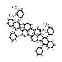 FC(F)(F)c1cccc(-c2c3c(c(-c4ccccc4)c4ccccc24)-c2ccc4c5ccc6c7c(ccc(c8ccc-3c2c48)c75)-c2c-6c(-c3ccccc3)c3ccccc3c2-c2cccc(C(F)(F)F)c2C(F)(F)F)c1C(F)(F)F